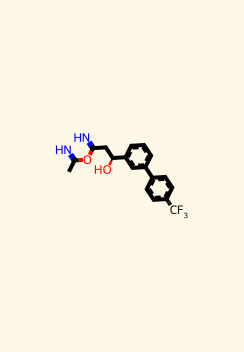 CC(=N)OC(=N)C[C@H](O)c1cccc(-c2ccc(C(F)(F)F)cc2)c1